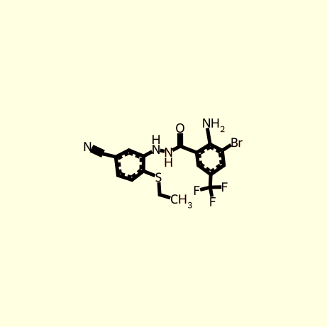 CCSc1ccc(C#N)cc1NNC(=O)c1cc(C(F)(F)F)cc(Br)c1N